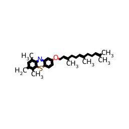 C=c1cc(C)c2c(c1C)Sc1ccc(OC/C=C(\C)CC/C=C(\C)CCC=C(C)C)cc1N=2